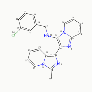 Cc1nc(-c2nc3ccccn3c2NCc2cccc(Cl)c2)c2ccccn12